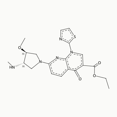 CCOC(=O)c1cn(-c2nccs2)c2nc(N3C[C@H](NC)[C@@H](OC)C3)ccc2c1=O